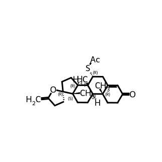 C=C1CC[C@@]2(CC[C@H]3[C@]4(C)[C@H](SC(C)=O)CC5=CC(=O)CC[C@]5(C)[C@H]4CC[C@@]32C)O1